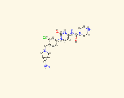 NC1C2CN(Cc3ccc(-n4ccc(NC(=O)N5CCNCC5)nc4=O)cc3Cl)CC12